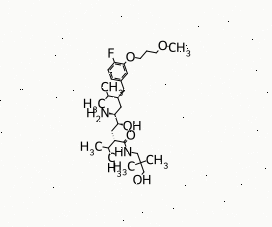 COCCCOc1cc(C[C@@H](C[C@H](N)[C@@H](O)C[C@H](C(=O)NCC(C)(C)CO)C(C)C)C(C)C)ccc1F